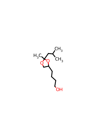 CC(C)CC1(C)OCC(CCCCO)O1